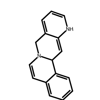 C1=CNC2=CC3c4ccccc4C=CN3CC2=C1